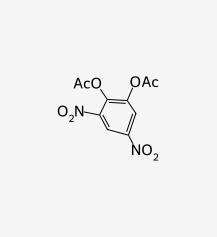 CC(=O)Oc1cc([N+](=O)[O-])cc([N+](=O)[O-])c1OC(C)=O